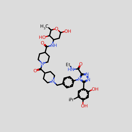 CCNC(=O)c1nnc(-c2cc(C(C)C)c(O)cc2O)n1-c1ccc(CN2CCC(C(=O)N3CCC(C(=O)NC4CC(O)OC(C)C4O)CC3)CC2)cc1